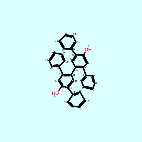 Oc1cc(-c2ccccc2)c(-c2cc(-c3ccccc3)c(O)cc2-c2ccccc2)cc1-c1ccccc1